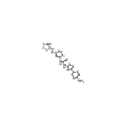 Nc1ncc(-c2nc(NC(=O)Nc3cccc(OC[C@H]4CCCN4)n3)cs2)cn1